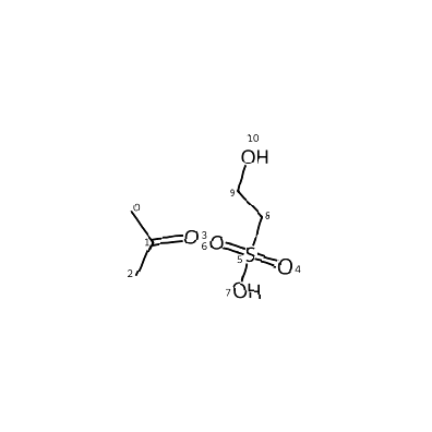 CC(C)=O.O=S(=O)(O)CCO